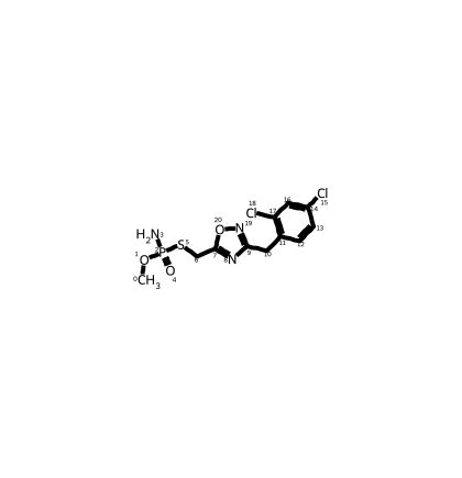 COP(N)(=O)SCc1nc(Cc2ccc(Cl)cc2Cl)no1